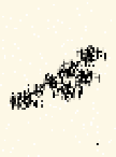 CC(=O)NC1C(OCCCCC(=O)NCCCCC(NC(=O)CCCCOC(OC(CO)[C@@H](C)O)[C@H](CO)NC(C)=O)C(=O)NC(CCCCNC(=O)C(CCCCNC(=O)CCCCOC(OC(CO)[C@@H](C)O)[C@H](CO)NC(C)=O)NC(=O)CCCCOC2OC(CO)C(O)C(O)C2NC(C)=O)C(C)=O)OC(CO)C(O)C1O